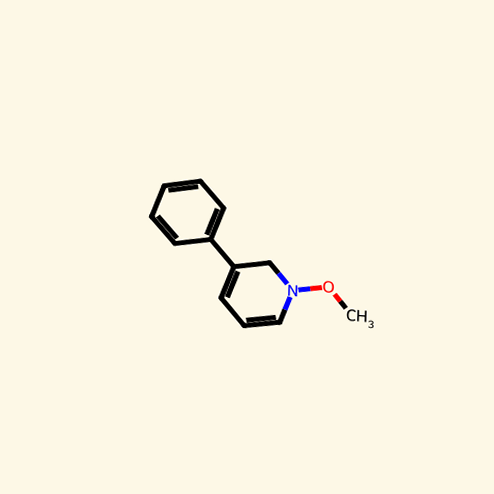 CON1C=CC=C(c2ccccc2)C1